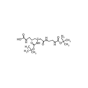 CC(C)(C)OC(=O)NCCNC(=O)C[C@H](CCCNC(=O)O)NC(=O)OC(C)(C)C